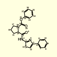 O=C(Nc1nc(-c2ccccc2)cs1)C1CCCN1C(=O)Oc1ccccc1